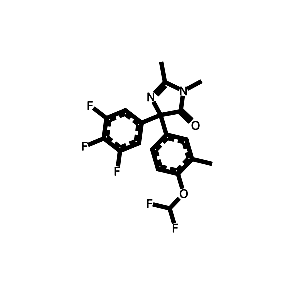 CC1=NC(c2ccc(OC(F)F)c(C)c2)(c2cc(F)c(F)c(F)c2)C(=O)N1C